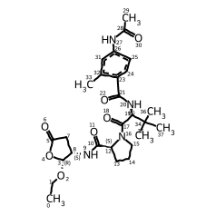 CCO[C@@H]1OC(=O)C[C@@H]1NC(=O)[C@@H]1CCCN1C(=O)[C@@H](NC(=O)c1ccc(NC(C)=O)cc1C)C(C)(C)C